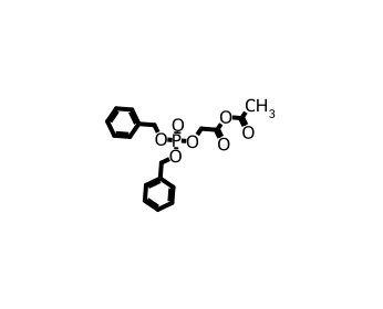 CC(=O)OC(=O)COP(=O)(OCc1ccccc1)OCc1ccccc1